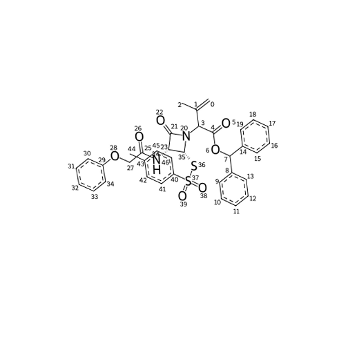 C=C(C)C(C(=O)OC(c1ccccc1)c1ccccc1)N1C(=O)[C@@H](NC(=O)COc2ccccc2)[C@H]1SS(=O)(=O)c1ccc(C)cc1